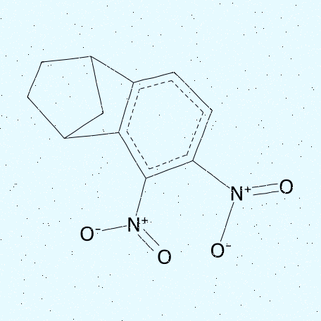 O=[N+]([O-])c1ccc2c(c1[N+](=O)[O-])C1CCC2C1